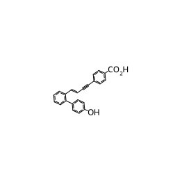 O=C(O)c1ccc(C#C/C=C/c2ccccc2-c2ccc(O)cc2)cc1